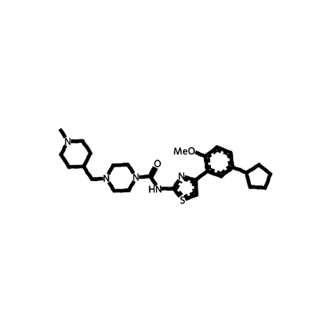 COc1ccc(C2CCCC2)cc1-c1csc(NC(=O)N2CCN(CC3CCN(C)CC3)CC2)n1